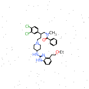 CCOCCc1cccc2[nH]c(NC3CCN(CCC(CN(C)C(=O)c4ccccc4)c4ccc(Cl)c(Cl)c4)CC3)nc12